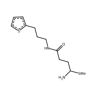 CSC(N)CCC(=O)NCCCc1cccs1